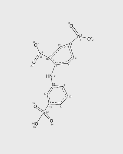 O=[N+]([O-])c1ccc(Nc2cccc(S(=O)(=O)O)c2)c([N+](=O)[O-])c1